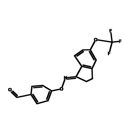 O=Cc1ccc(ON=C2CCc3cc(OC(F)(F)F)ccc32)cc1